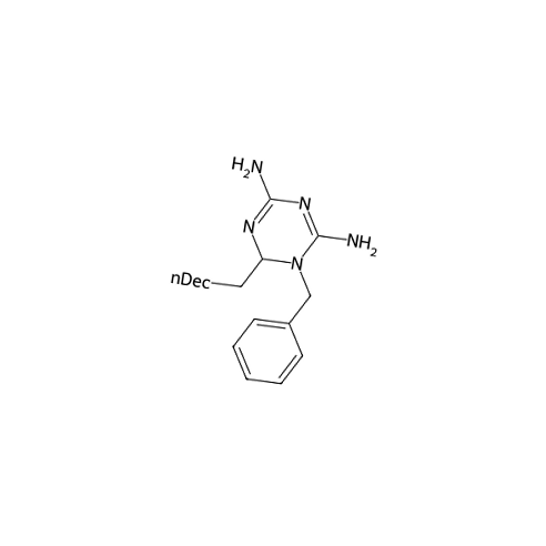 CCCCCCCCCCCC1N=C(N)N=C(N)N1Cc1ccccc1